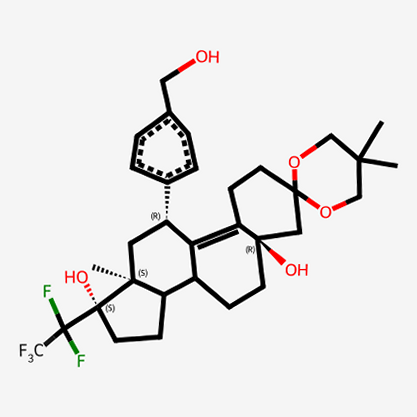 CC1(C)COC2(CCC3=C4C(CC[C@@]3(O)C2)C2CC[C@@](O)(C(F)(F)C(F)(F)F)[C@@]2(C)C[C@@H]4c2ccc(CO)cc2)OC1